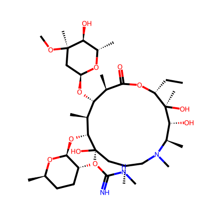 CC[C@H]1OC(=O)[C@H](C)[C@@H](O[C@H]2C[C@@](C)(OC)[C@@H](O)[C@H](C)O2)[C@H](C)[C@@H](O[C@@H]2O[C@H](C)CC[C@H]2OC(=N)NC)[C@](C)(O)C[C@@H](C)CN(C)[C@H](C)[C@@H](O)[C@]1(C)O